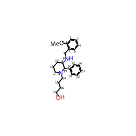 COc1ccccc1CN[C@@H]1CCCN(CCCCO)[C@@H]1c1ccccc1